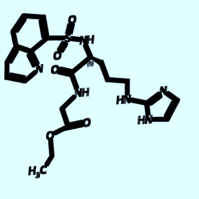 CCOC(=O)CNC(=O)[C@H](CCCNc1ncc[nH]1)NS(=O)(=O)c1cccc2cccnc12